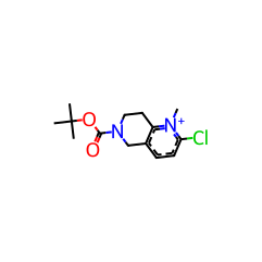 C[n+]1c(Cl)ccc2c1CCN(C(=O)OC(C)(C)C)C2